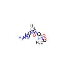 Cc1ccoc1NC(=O)c1ccc(-n2ccc(C)c(N3CCc4nc(N)ncc4C3)c2=O)cc1